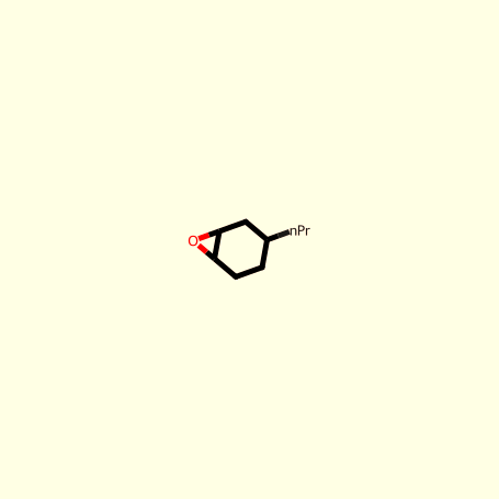 [CH]CCC1CCC2OC2C1